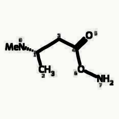 CN[C@@H](C)CC(=O)ON